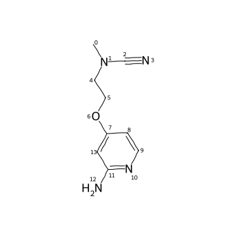 CN(C#N)CCOc1ccnc(N)c1